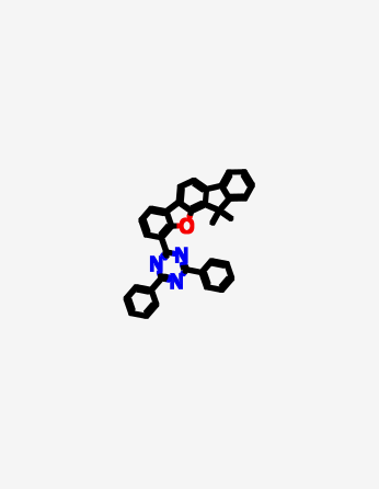 CC1(C)c2ccccc2-c2ccc3c(oc4c(-c5nc(-c6ccccc6)nc(-c6ccccc6)n5)cccc43)c21